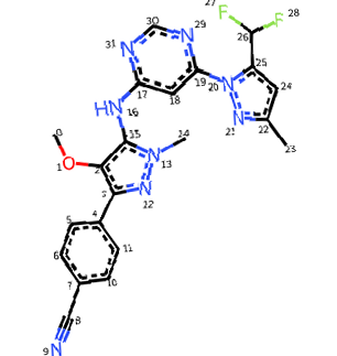 COc1c(-c2ccc(C#N)cc2)nn(C)c1Nc1cc(-n2nc(C)cc2C(F)F)ncn1